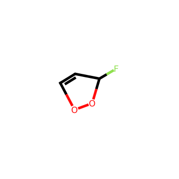 FC1C=COO1